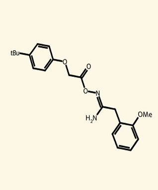 COc1ccccc1C/C(N)=N/OC(=O)COc1ccc(C(C)(C)C)cc1